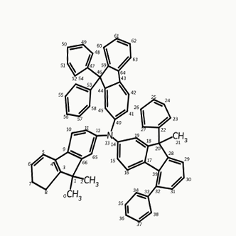 CC1(C)C2=C(C=CCC2)c2ccc(N(c3ccc4c(c3)C(C)(c3ccccc3)c3cccc(-c5ccccc5)c3-4)c3ccc4c(c3)C(c3ccccc3)(c3ccccc3)c3ccccc3-4)cc21